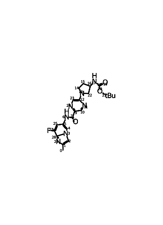 Cc1cn2cc(NC(=O)c3cnc(N4CCC(NC(=O)OC(C)(C)C)C4)cn3)cc(F)c2n1